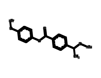 CCCCOC(C)c1ccc(C(=O)Oc2ccc(OCCC)cc2)cc1